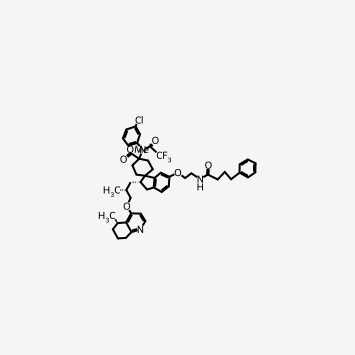 COC(=O)C1(N(C(=O)C(F)(F)F)c2cccc(Cl)c2)CCC2(CC1)c1cc(OCCNC(=O)CCCc3ccccc3)ccc1C[C@@H]2C[C@@H](C)COc1ccnc2c1[C@H](C)CCC2